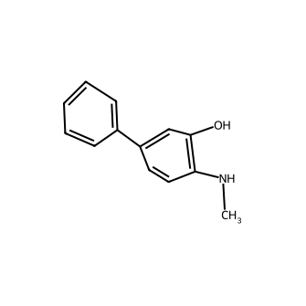 CNc1ccc(-c2ccccc2)cc1O